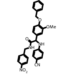 COc1cc(C(Nc2ccc(C#N)cc2)C(=O)NCc2ccc([N+](=O)[O-])cc2)ccc1OCc1ccccc1